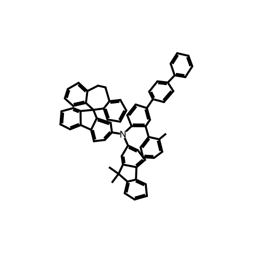 Cc1ccccc1-c1cc(-c2ccc(-c3ccccc3)cc2)ccc1N(c1ccc2c(c1)C(C)(C)c1ccccc1-2)c1ccc2c(c1)C1(c3ccccc3CCc3ccccc31)c1ccccc1-2